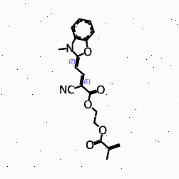 C=C(C)C(=O)OCCOC(=O)/C(C#N)=C/C=C1\Oc2ccccc2N1C